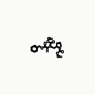 CC(C)(C)OC(=O)N(CC1C=CCN1C(=O)OC(C)(C)C)NC(=O)OCc1ccccc1